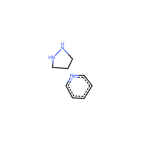 C1CNNC1.c1ccncc1